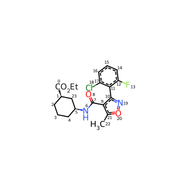 CCOC(=O)[C@@H]1CCC[C@H](NC(=O)c2c(-c3c(F)cccc3Cl)noc2C)C1